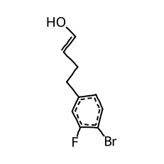 OC=CCCc1ccc(Br)c(F)c1